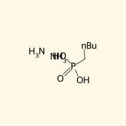 CCCCCP(=O)(O)O.N.N